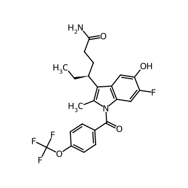 CC[C@@H](CCC(N)=O)c1c(C)n(C(=O)c2ccc(OC(F)(F)F)cc2)c2cc(F)c(O)cc12